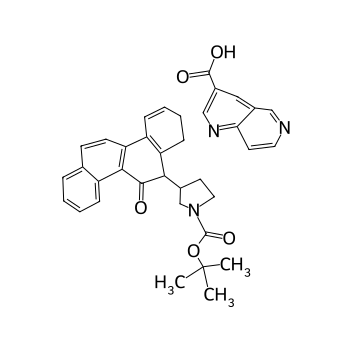 CC(C)(C)OC(=O)N1CCC(C2C(=O)c3c(ccc4ccccc34)C3=C2CCC=C3)C1.O=C(O)c1cnc2ccncc2c1